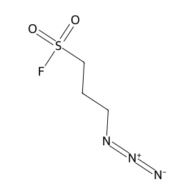 [N-]=[N+]=NCCCS(=O)(=O)F